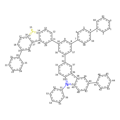 c1ccc(-c2ccc(-c3cc(-c4ccc5sc6ccc(-c7ccccc7)cc6c5c4)cc(-c4ccc5c(c4)c4cc(-c6ccccc6)ccc4n5-c4ccccc4)c3)cc2)cc1